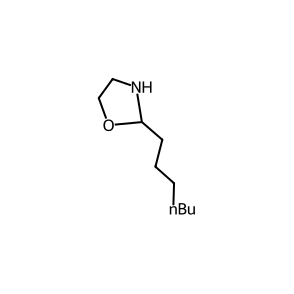 CCCCCCCC1NCCO1